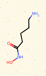 NCCCCC(=O)NO